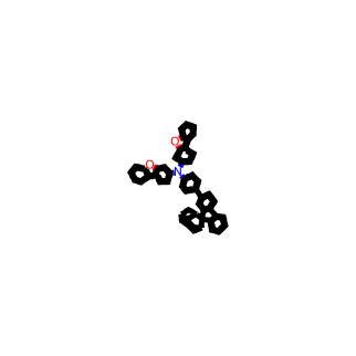 c1ccc2c(c1)-c1ccc(-c3ccc(N(c4ccc5c(c4)oc4ccccc45)c4ccc5c(c4)oc4ccccc45)cc3)cc1C21C2CC3CC(C2)CC1C3